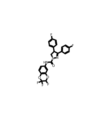 O=C(Nc1ccc2c(c1)OC(F)C(F)(F)O2)N1CC(c2ccc(F)cc2)C(c2ccc(F)cc2)=N1